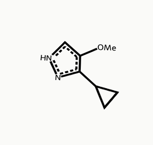 COc1c[nH]nc1C1CC1